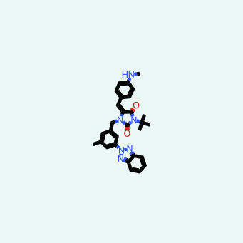 CNc1ccc(/C=C2\C(=O)N(C(C)(C)C)C(=O)N2Cc2cc(C)cc(-n3nc4ccccc4n3)c2)cc1